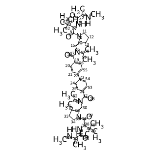 CN[C@@H](C)C(=O)N[C@H](C(=O)N1CCC[C@H]1CN(C(=O)c1ccc(-c2ccc(C(=O)N(C[C@@H]3CCCN3C(=O)[C@@H](NC(=O)[C@H](C)NC)C(C)(C)C)C(C)C)cc2)cc1)C(C)C)C(C)(C)C